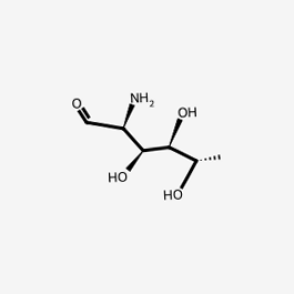 C[C@H](O)[C@H](O)[C@@H](O)[C@H](N)C=O